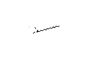 CCCOC(CCCCCCCCC/C=C/CCI)OCCC